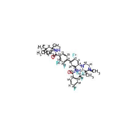 C[C@@H]1CN(c2cc(F)c(-c3ccc(C(=O)NC(C)(C)CC(C)(C)C)c(F)c3F)cc2NC(=O)c2ccc(F)cc2C(F)(F)F)CCN1C